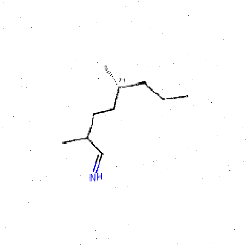 CCC[C@@H](C)CCC(C)C=N